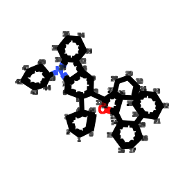 c1cccc(-c2cc3c(cc2-c2oc(-c4ccccc4-c4ccccc4)c4c2CCC=C4)c2ccccc2n3-c2ccccc2)c#1